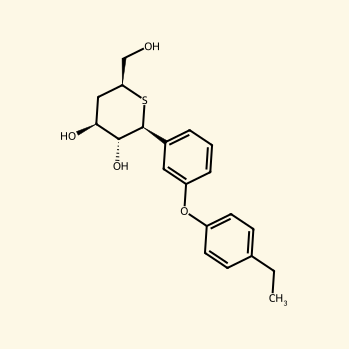 CCc1ccc(Oc2cccc([C@@H]3S[C@H](CO)C[C@H](O)[C@H]3O)c2)cc1